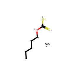 CCCCCOC(=S)S.[Mo]